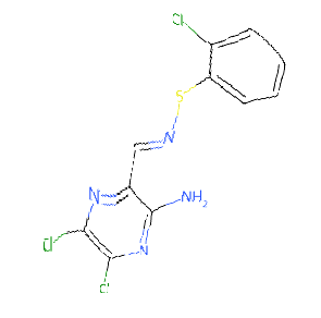 Nc1nc(Cl)c(Cl)nc1C=NSc1ccccc1Cl